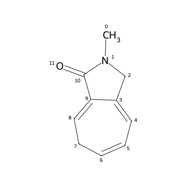 CN1CC2=CC=CCC=C2C1=O